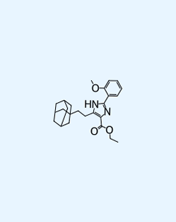 CCOC(=O)c1nc(-c2ccccc2OC)[nH]c1CCC12CC3CC(CC(C3)C1)C2